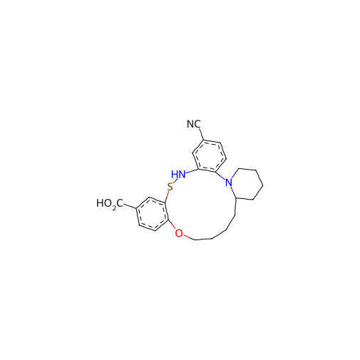 N#Cc1ccc2c(c1)NSc1cc(C(=O)O)ccc1OCCCCC1CCCCN21